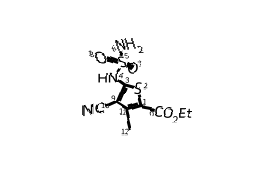 CCOC(=O)c1sc(NS(N)(=O)=O)c(C#N)c1C